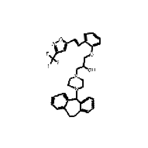 OC(COc1ccccc1C=Cc1cc(C(F)(F)F)no1)CN1CCN(C2c3ccccc3CCc3ccccc32)CC1